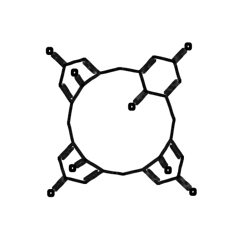 O=C1C=C2CC3=CC(=O)C=C(CC4=CC(=O)C=C(CC5=CC(=O)C=C(CC(=C1)C2=O)C5=O)C4=O)C3=O